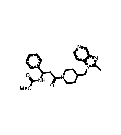 COC(=O)NC(CC(=O)N1CCC(Cn2c(C)nc3cnccc32)CC1)c1ccccc1